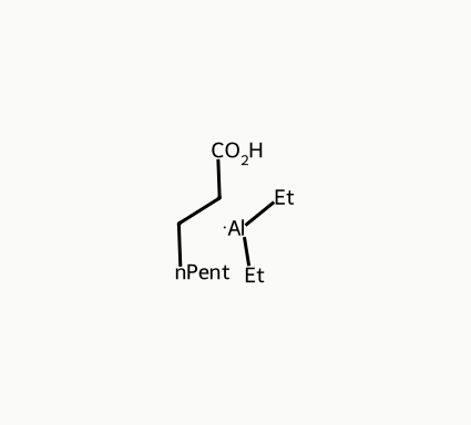 CCCCCCCC(=O)O.C[CH2][Al][CH2]C